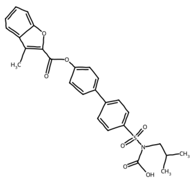 Cc1c(C(=O)Oc2ccc(-c3ccc(S(=O)(=O)N(CC(C)C)C(=O)O)cc3)cc2)oc2ccccc12